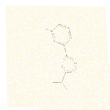 Cc1cccc(-c2nnc(C(C)O)o2)c1